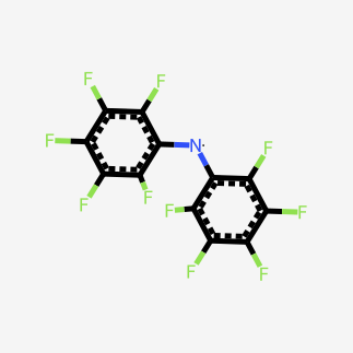 Fc1c(F)c(F)c([N]c2c(F)c(F)c(F)c(F)c2F)c(F)c1F